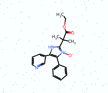 CCOC(=O)C(C)(C)c1[nH]c(-c2cccnc2)c(-c2ccccc2)[n+]1[O-]